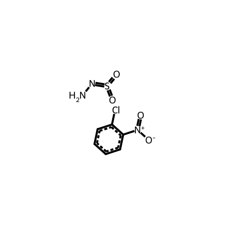 NN=S(=O)=O.O=[N+]([O-])c1ccccc1Cl